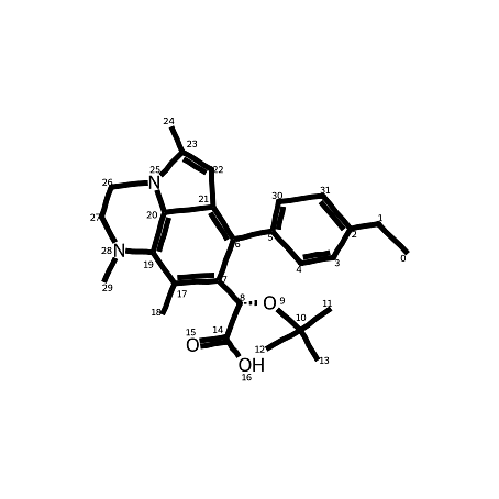 CCc1ccc(-c2c([C@H](OC(C)(C)C)C(=O)O)c(C)c3c4c2cc(C)n4CCN3C)cc1